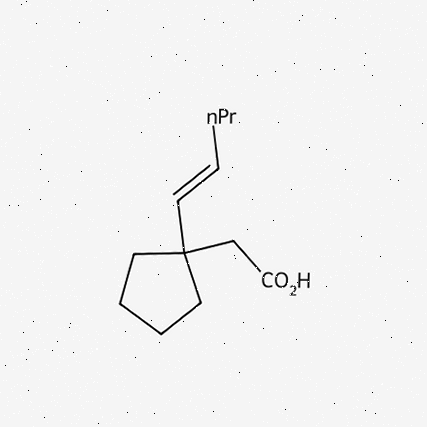 CCCC=CC1(CC(=O)O)CCCC1